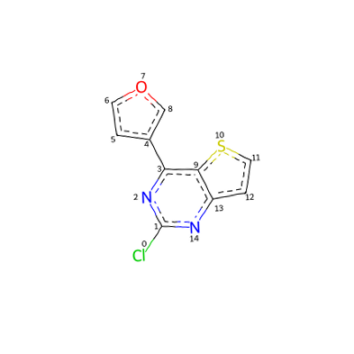 Clc1nc(-c2ccoc2)c2sccc2n1